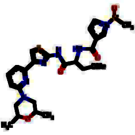 COCC(NC(=O)c1ccn([S+](C)[O-])c1)C(=O)Nc1nc(-c2cccc(N3CC(C)OC(C)C3)n2)cs1